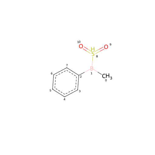 CB(c1ccccc1)[SH](=O)=O